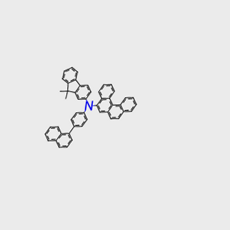 CC1(C)c2ccccc2-c2ccc(N(c3ccc(-c4cccc5ccccc45)cc3)c3cc4ccc5ccccc5c4c4ccccc34)cc21